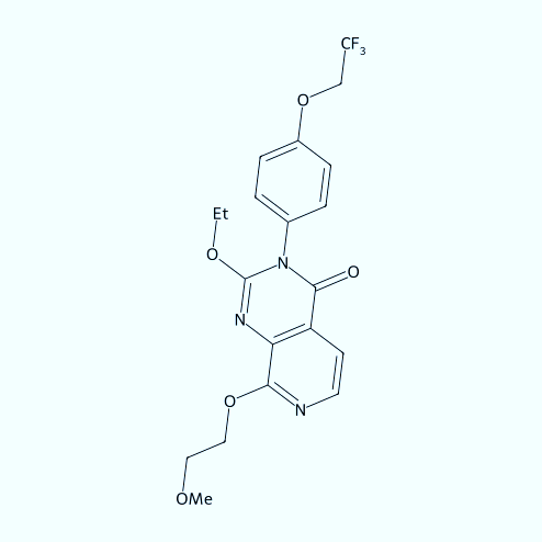 CCOc1nc2c(OCCOC)nccc2c(=O)n1-c1ccc(OCC(F)(F)F)cc1